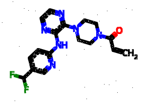 C=CC(=O)N1CCN(c2nccnc2Nc2ccc(C(F)F)cn2)CC1